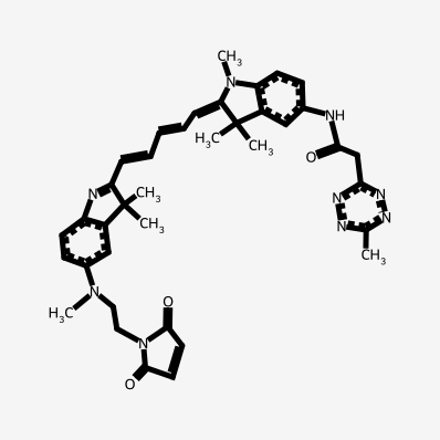 Cc1nnc(CC(=O)Nc2ccc3c(c2)C(C)(C)\C(=C/C=C/C=C/C2=Nc4ccc(N(C)CCN5C(=O)C=CC5=O)cc4C2(C)C)N3C)nn1